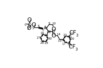 CS(=O)(=O)OCC#C[C@@H]1CCOC(OCCc2cc(C(F)(F)F)cc(C(F)(F)F)c2)[C@H]1c1ccccc1